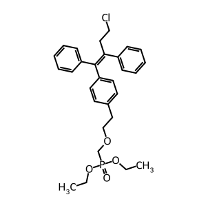 CCOP(=O)(COCCc1ccc(/C(=C(/CCCl)c2ccccc2)c2ccccc2)cc1)OCC